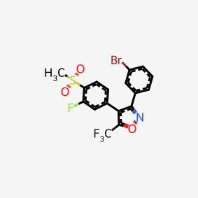 CS(=O)(=O)c1ccc(-c2c(-c3cccc(Br)c3)noc2C(F)(F)F)cc1F